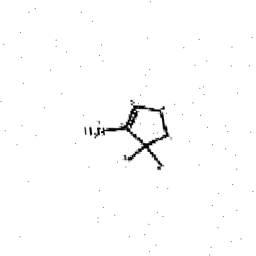 CC1(C)CCC=C1N